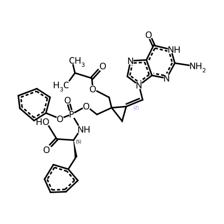 CC(C)C(=O)OCC1(COP(=O)(N[C@@H](Cc2ccccc2)C(=O)O)Oc2ccccc2)C/C1=C/n1cnc2c(=O)[nH]c(N)nc21